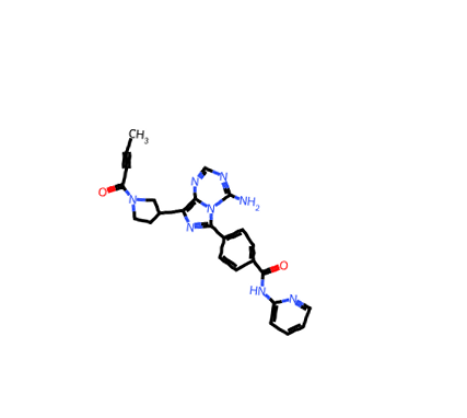 CC#CC(=O)N1CCC(c2nc(-c3ccc(C(=O)Nc4ccccn4)cc3)n3c(N)ncnc23)C1